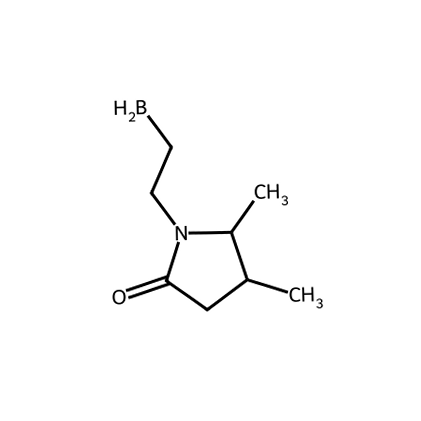 BCCN1C(=O)CC(C)C1C